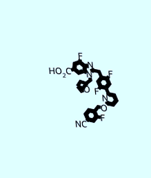 N#Cc1ccc(COc2cccc(-c3cc(F)c(Cc4nc5c(F)cc(C(=O)O)cc5n4CC45CC(CO4)C5)cc3F)n2)c(F)c1